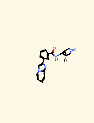 O=C(NC1C2CNC[C@H]21)c1cccc(-c2cn3ccccc3n2)c1